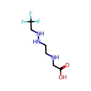 O=C(O)CNCCNNCC(F)(F)F